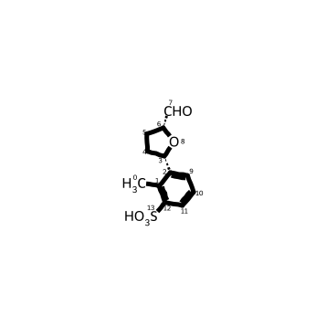 Cc1c([C@@H]2CC[C@H](C=O)O2)cccc1S(=O)(=O)O